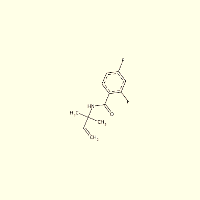 C=CC(C)(C)NC(=O)c1ccc(F)cc1F